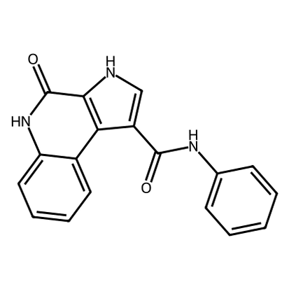 O=C(Nc1ccccc1)c1c[nH]c2c(=O)[nH]c3ccccc3c12